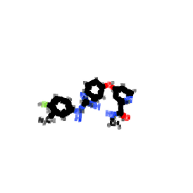 CNC(=O)c1cc(Oc2ccc3nc(Nc4ccc(F)c(C)c4)[nH]c3c2)ccn1